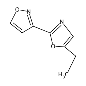 CCc1cnc(-c2ccon2)o1